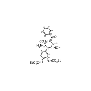 CCOC(=O)Oc1ccc(C(C[C@@H](C)OC(=O)c2ccccc2)[C@H](N)C(=O)O)cc1OC(=O)OCC.Cl